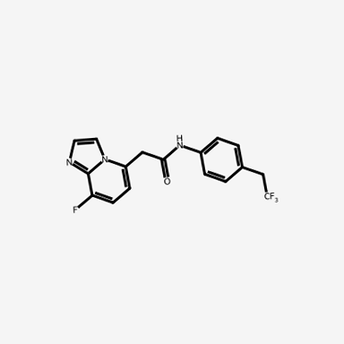 O=C(Cc1ccc(F)c2nccn12)Nc1ccc(CC(F)(F)F)cc1